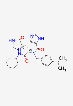 CC(C)c1ccc(CN(C(=O)c2cnc[nH]2)[C@@H](C[C@@H]2CCNC2=O)C(=O)NC2CCCCC2)cc1